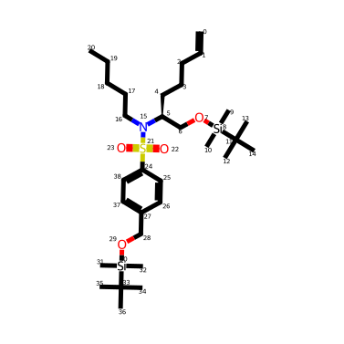 C=CCCC[C@@H](CO[Si](C)(C)C(C)(C)C)N(CCCCC)S(=O)(=O)c1ccc(CO[Si](C)(C)C(C)(C)C)cc1